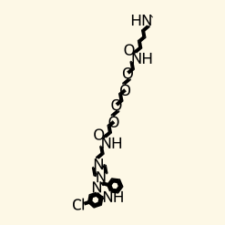 CNCCCCCC(=O)NCCOCCOCCOCCOCCC(=O)NCCCN1CCN(C2=Nc3cc(Cl)ccc3Nc3ccccc32)CC1